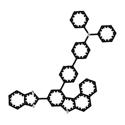 c1ccc(N(c2ccccc2)c2ccc(-c3ccc(-c4cc(-c5nc6ccccc6s5)cc5sc6ccc7ccccc7c6c45)cc3)cc2)cc1